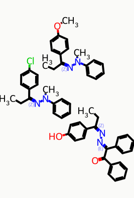 CC/C(=N/N(C)c1ccccc1)c1ccc(Cl)cc1.CC/C(=N/N(C)c1ccccc1)c1ccc(OC)cc1.CC/C(=N/N=C(/C(=O)c1ccccc1)c1ccccc1)c1ccc(O)cc1